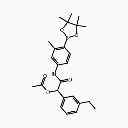 CCc1cccc(C(OC(C)=O)C(=O)Nc2ccc(B3OC(C)(C)C(C)(C)O3)c(C)c2)c1